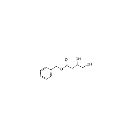 O=C(CC(O)CO)OCc1ccccc1